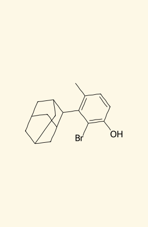 Cc1ccc(O)c(Br)c1C1C2CC3CC(C2)CC1C3